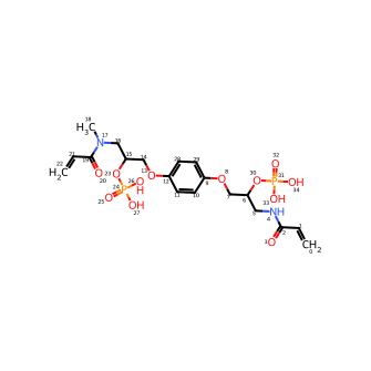 C=CC(=O)NCC(COc1ccc(OCC(CN(C)C(=O)C=C)OP(=O)(O)O)cc1)OP(=O)(O)O